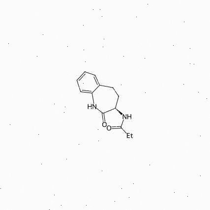 CCC(=O)N[C@@H]1CCc2ccccc2NC1=O